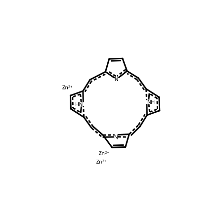 C1=Cc2cc3ccc(cc4nc(cc5ccc(cc1n2)[nH]5)C=C4)[nH]3.[Zn+2].[Zn+2].[Zn+2]